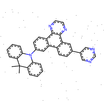 CC1(C)c2ccccc2N(c2ccc3c(c2)c2ccc(-c4cncnc4)cc2c2nccnc32)c2ccccc21